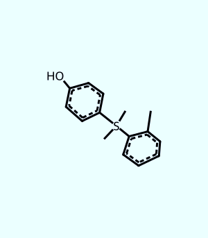 Cc1ccccc1S(C)(C)c1ccc(O)cc1